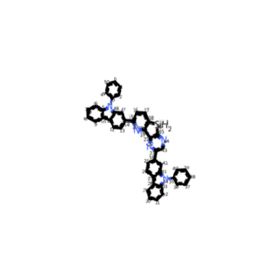 c1ccc(-n2c3ccccc3c3ccc(-c4ccc5c(n4)-c4nc(-c6ccc7c8ccccc8n(-c8ccccc8)c7c6)cnc4[SiH2]5)cc32)cc1